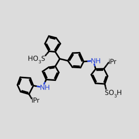 CC(C)c1ccccc1Nc1ccc(C(c2ccc(Nc3ccc(S(=O)(=O)O)cc3C(C)C)cc2)c2ccccc2S(=O)(=O)O)cc1